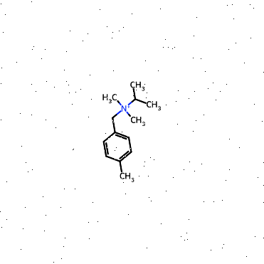 Cc1ccc(C[N+](C)(C)C(C)C)cc1